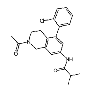 CC(=O)N1CCc2c(cc(NC(=O)C(C)C)cc2-c2ccccc2Cl)C1